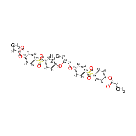 C=CC(=O)Oc1ccc(S(=O)(=O)c2ccc(OCC(CC)Oc3ccc(S(=O)(=O)c4ccc(OC(=O)C=C)cc4)cc3)cc2)cc1